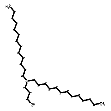 CCCCCCCCCCCCCN(CCCO)CCCCCCCCCCCCC